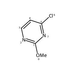 COc1nc[c]c(Cl)n1